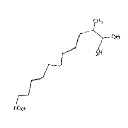 CCCCCCCCCCCCCCCCCC(C)C(O)S